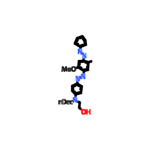 CCCCCCCCCCN(CCO)c1ccc(/N=N/c2cc(C)c(/N=N/c3ccccc3)cc2OC)cc1